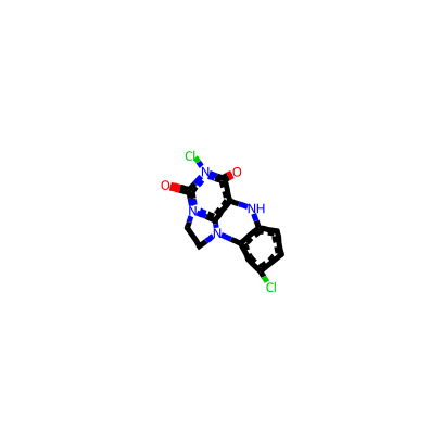 O=c1c2c3n(c(=O)n1Cl)CCN3c1cc(Cl)ccc1N2